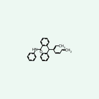 C=C/C=C\C(=C/C)C(c1ccccc1)c1ccccc1C(=O)Nc1ccccc1